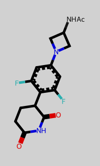 CC(=O)NC1CN(c2cc(F)c(C3CCC(=O)NC3=O)c(F)c2)C1